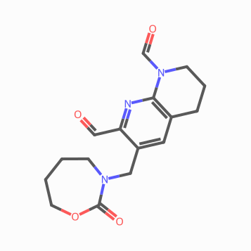 O=Cc1nc2c(cc1CN1CCCCOC1=O)CCCN2C=O